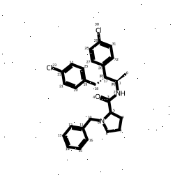 C[C@@H](NC(=O)C1CCCN1Cc1ccccc1)[C@H](Cc1ccc(Cl)cc1)c1ccc(Cl)cc1